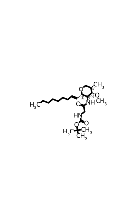 CCCCCCCC=C[C@@H]1OC[C@H](C)[C@H](OC)[C@H]1NC(=O)CNC(=O)OC(C)(C)C